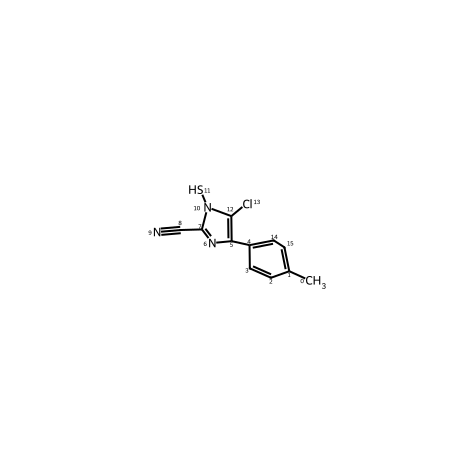 Cc1ccc(-c2nc(C#N)n(S)c2Cl)cc1